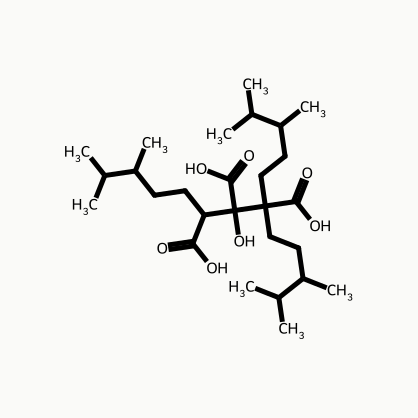 CC(C)C(C)CCC(C(=O)O)C(O)(C(=O)O)C(CCC(C)C(C)C)(CCC(C)C(C)C)C(=O)O